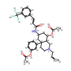 C=CCN1CCC2(c3cccc(OC(C)=O)c3)CC(NC(=O)/C=C/c3cccc(C(F)(F)F)c3)CC(OC(C)=O)C2C1